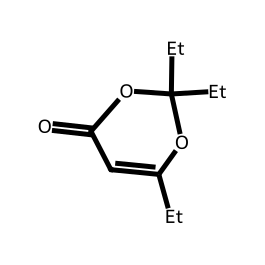 CCC1=CC(=O)OC(CC)(CC)O1